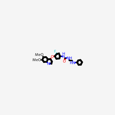 COc1cc2nccc(Oc3ccc(NC(=O)NCCNc4ccccc4)cc3F)c2cc1OC